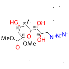 COC(=O)[C@@]1(OC)C[C@@H](O)[C@@H](C)C([C@H](O)[C@H](O)CN=[N+]=[N-])O1